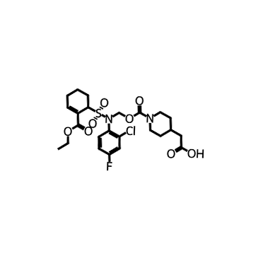 CCOC(=O)C1=CCCCC1S(=O)(=O)N(COC(=O)N1CCC(CC(=O)O)CC1)c1ccc(F)cc1Cl